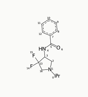 CC(C)N1CC(NC(=O)c2ccccc2)C(F)(F)C1